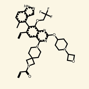 C=CC(=O)N1CC2(CCN(c3nc(OC4CCN(C5COC5)CC4)nc4c(OCC(F)(F)F)c(-c5c(C)ccc6[nH]ncc56)c(C=C)cc34)CC2)C1